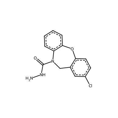 NNC(=O)N1Cc2cc(Cl)ccc2Oc2ccccc21